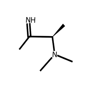 CC(=N)[C@@H](C)N(C)C